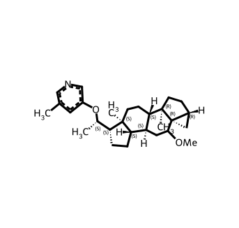 COC1C[C@H]2[C@@H]3CC[C@H]([C@H](C)Oc4cncc(C)c4)[C@@]3(C)CC[C@@H]2[C@@]2(C)CC[C@@H]3C[C@@]132